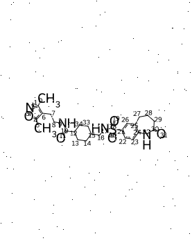 Cc1noc(C)c1CCNC(=O)C1CCC(CNS(=O)(=O)c2ccc3c(c2)CCCC(=O)N3)CC1